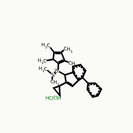 CC1=C(C)C(C)[C]([Zr]([CH]2C(C3CC3)=Cc3c(-c4ccccc4)cccc32)=[Si](C)C)=C1C.Cl.Cl